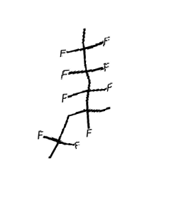 CC(F)(F)CC(C)(F)C(F)(F)C(F)(F)C(C)(F)F